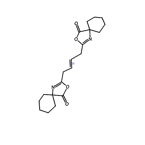 O=C1OC(C/C=C/CC2=NC3(CCCCC3)C(=O)O2)=NC12CCCCC2